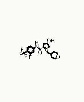 O=C(Nc1ccc(C(F)(F)F)c(F)c1)[C@@H]1C[C@H](O)CN1CC1CCOCC1